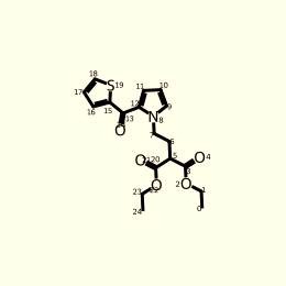 CCOC(=O)C(CCn1cccc1C(=O)c1cccs1)C(=O)OCC